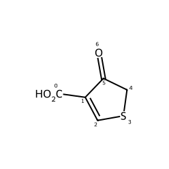 O=C(O)C1=CSCC1=O